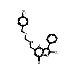 O=c1cc(CNCOCc2ccc(C(F)(F)F)cc2)[nH]c2c(-c3ccccc3)c(C(F)(F)F)nn12